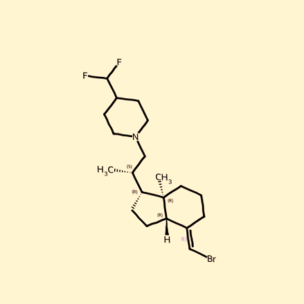 C[C@H](CN1CCC(C(F)F)CC1)[C@H]1CC[C@H]2/C(=C/Br)CCC[C@]12C